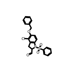 O=CC1Cc2c(ccc(OCc3ccccc3)c2Cl)N1S(=O)(=O)c1ccccc1